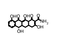 NC(=O)C1=C(O)CC2CC3C(=C(O)C2C1=O)C(=O)c1c(O)cccc1[C@H]3O